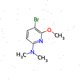 COc1nc(N(C)C)ccc1Br